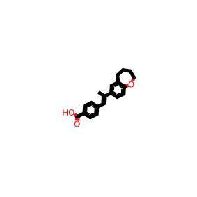 CC(=Cc1ccc(C(=O)O)cc1)c1ccc2c(c1)CCCCO2